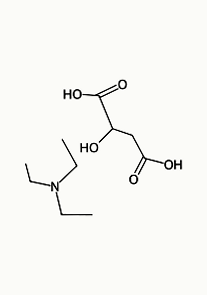 CCN(CC)CC.O=C(O)CC(O)C(=O)O